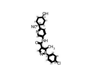 Cc1c(C(=O)Nc2ccc([C@]3(C#N)CC[C@H](O)CC3)nc2)cnn1-c1ccc(Cl)cc1